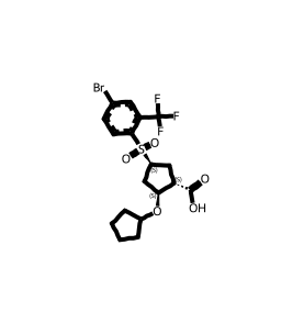 O=C(O)[C@H]1C[C@H](S(=O)(=O)c2ccc(Br)cc2C(F)(F)F)C[C@@H]1OC1CCCC1